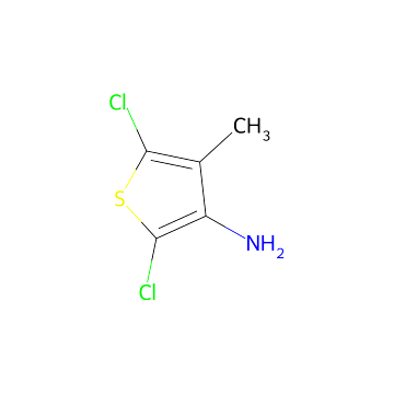 Cc1c(Cl)sc(Cl)c1N